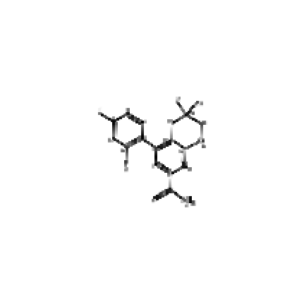 C=C(N)c1cc(-c2ccc(C)cc2F)c2c(n1)OCC(C)(C)C2